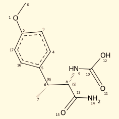 COc1ccc([C@@H](C)[C@H](NC(=O)O)C(N)=O)cc1